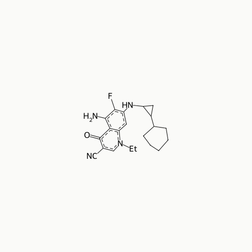 CCn1cc(C#N)c(=O)c2c(N)c(F)c(NC3CC3C3CCCCC3)cc21